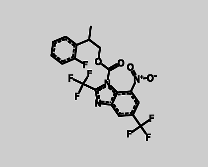 CC(COC(=O)n1c(C(F)(F)F)nc2cc(C(F)(F)F)cc([N+](=O)[O-])c21)c1ccccc1F